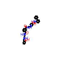 O=C(Nc1ccccc1-c1ccccc1)OC1CCN(CCNC(=O)c2cccc(C(=O)NCCNCc3ccccc3O)c2)CC1